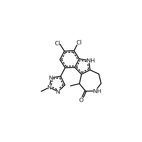 CC1C(=O)NCCc2[nH]c3c(Cl)c(Cl)cc(-c4cnn(C)n4)c3c21